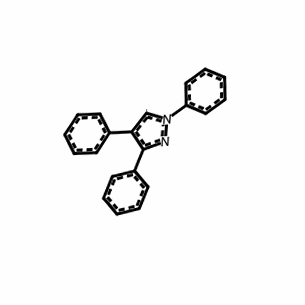 [c]1c(-c2ccccc2)c(-c2ccccc2)nn1-c1ccccc1